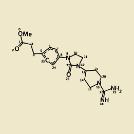 COC(=O)CCc1ccc(N2CCN(C3CCN(C(=N)N)CC3)C2=O)cc1